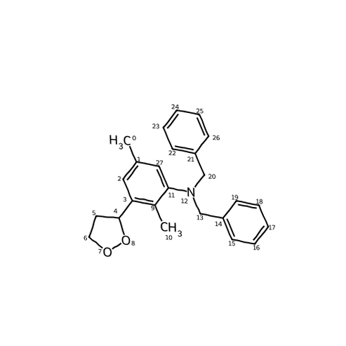 Cc1cc(C2CCOO2)c(C)c(N(Cc2ccccc2)Cc2ccccc2)c1